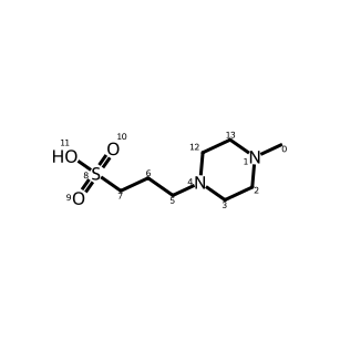 CN1CCN(CCCS(=O)(=O)O)CC1